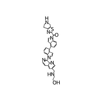 O=C(c1nc2c(s1)CNCC2)n1ccc2c(-c3cccc4c3ccn4-c3nccc4cc(CNCCO)cnc34)cccc21